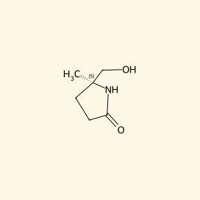 C[C@@]1(CO)CCC(=O)N1